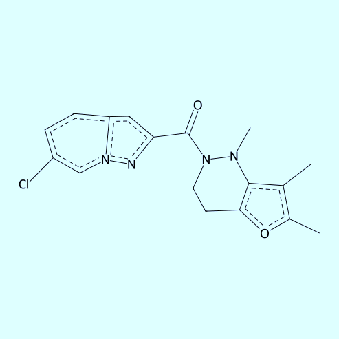 Cc1oc2c(c1C)N(C)N(C(=O)c1cc3ccc(Cl)cn3n1)CC2